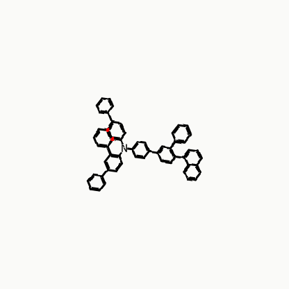 c1ccc(-c2ccc(N(c3ccc(-c4ccc(-c5cccc6ccccc56)c(-c5ccccc5)c4)cc3)c3ccc(-c4ccccc4)cc3-c3ccccc3)cc2)cc1